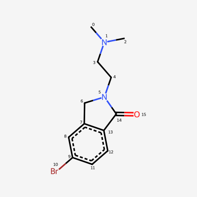 CN(C)CCN1Cc2cc(Br)ccc2C1=O